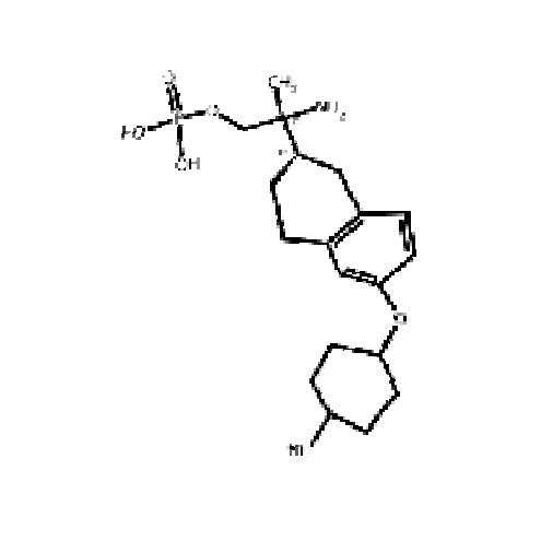 CC(C)(C)C1CCC(Oc2ccc3c(c2)CC[C@@H]([C@@](C)(N)COP(=O)(O)O)C3)CC1